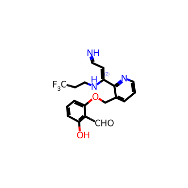 N=C/C=C(\NCCC(F)(F)F)c1ncccc1COc1cccc(O)c1C=O